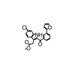 COC(=O)Cc1c(C(=O)c2cccc(-c3ccco3)c2)[nH]c2cc(Cl)ccc12